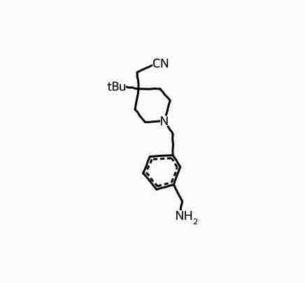 CC(C)(C)C1(CC#N)CCN(Cc2cccc(CN)c2)CC1